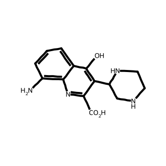 Nc1cccc2c(O)c(C3CNCCN3)c(C(=O)O)nc12